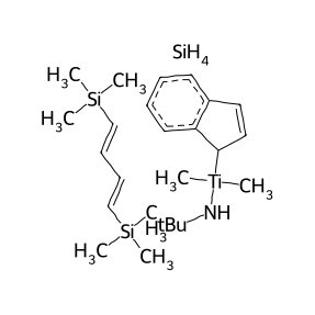 CC(C)(C)[NH][Ti]([CH3])([CH3])[CH]1C=Cc2ccccc21.C[Si](C)(C)C=CC=C[Si](C)(C)C.[SiH4]